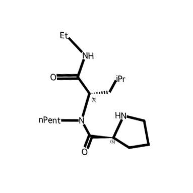 CCCCCN(C(=O)[C@@H]1CCCN1)[C@@H](CC(C)C)C(=O)NCC